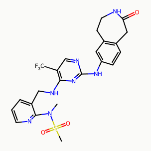 CN(c1ncccc1CNc1nc(Nc2ccc3c(c2)CCNC(=O)C3)ncc1C(F)(F)F)S(C)(=O)=O